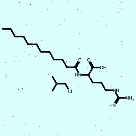 CC(C)CCl.CCCCCCCCCCCC(=O)NC(CCCNC(=N)N)C(=O)O